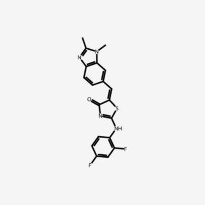 Cc1nc2ccc(C=C3SC(Nc4ccc(F)cc4F)=NC3=O)cc2n1C